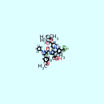 COc1ccc([C@@H]2CN(C3CCCC3)C[C@@]2(F)C(=O)N2C[C@H](c3ccc(C(F)(F)F)cc3N3CCC(C(=O)OC(C)(C)C)CC3)[C@@H](C(C)(C)O)C2)cc1